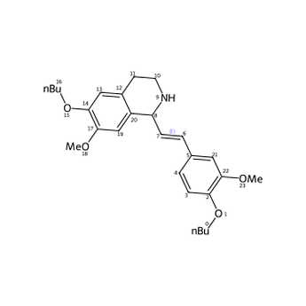 CCCCOc1ccc(/C=C/C2NCCc3cc(OCCCC)c(OC)cc32)cc1OC